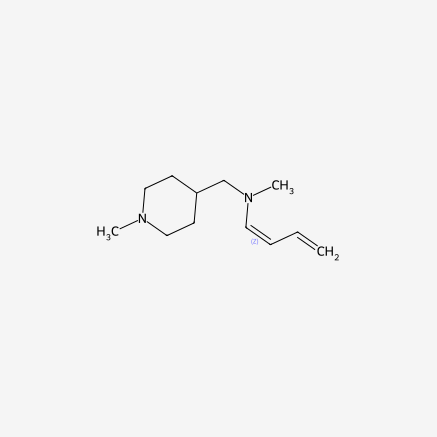 C=C/C=C\N(C)CC1CCN(C)CC1